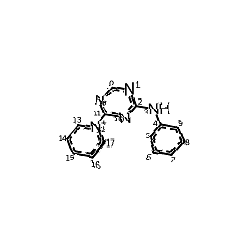 [c]1nc(Nc2ccccc2)nc(-[n+]2ccccc2)n1